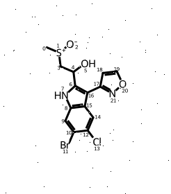 C[S+]([O-])CC(O)c1[nH]c2cc(Br)c(Cl)cc2c1-c1ccon1